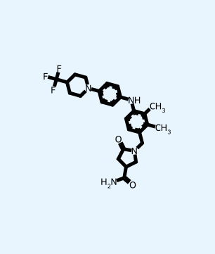 Cc1c(CN2CC(C(N)=O)CC2=O)ccc(Nc2ccc(N3CCC(C(F)(F)F)CC3)cc2)c1C